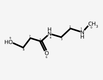 CNCCNC(=O)CCO